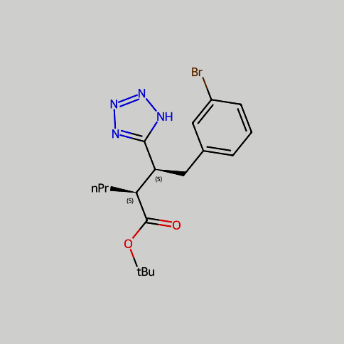 CCC[C@H](C(=O)OC(C)(C)C)[C@H](Cc1cccc(Br)c1)c1nnn[nH]1